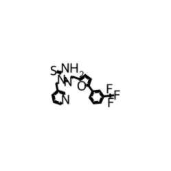 NC(=S)N(Cc1cccnc1)N=Cc1ccc(-c2cccc(C(F)(F)F)c2)o1